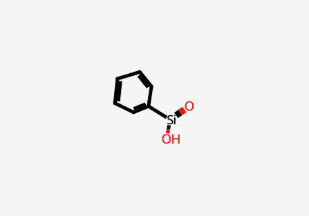 O=[Si](O)c1ccccc1